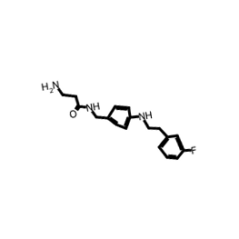 NCCC(=O)NCc1ccc(NCCc2cccc(F)c2)cc1